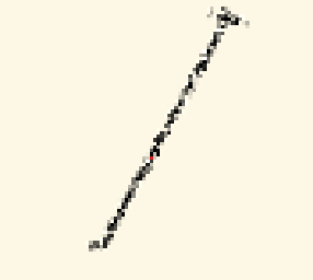 CC=C(C)C(=O)OCCOCCOCCOCCOCCOCCOCCOCCOCCOCCOCCOCCOCCOCCOCCOCCOCCOCCOCCOCCOCCO